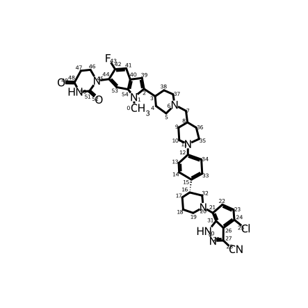 Cn1c(C2CCN(CC3CCN(c4ccc([C@H]5CCCN(c6ccc(Cl)c7c(C#N)n[nH]c67)C5)cc4)CC3)CC2)cc2cc(F)c(N3CCC(=O)NC3=O)cc21